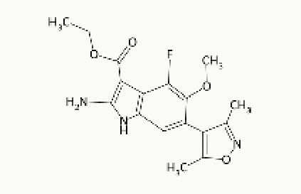 CCOC(=O)c1c(N)[nH]c2cc(-c3c(C)noc3C)c(OC)c(F)c12